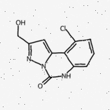 O=c1[nH]c2cccc(Cl)c2c2cc(CO)nn12